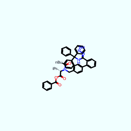 CCCCC(=O)N(Cc1ccc(-c2ccccc2/C(=N/N=N)NC(c2ccccc2)(c2ccccc2)c2ccccc2)cc1)[C@H](C(=O)OC(=O)c1ccccc1)C(C)C